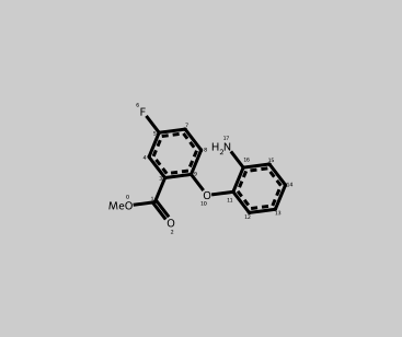 COC(=O)c1cc(F)ccc1Oc1ccccc1N